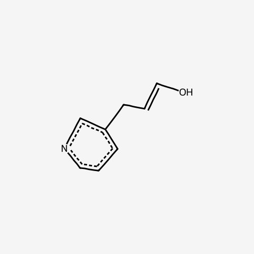 O/C=C/Cc1cccnc1